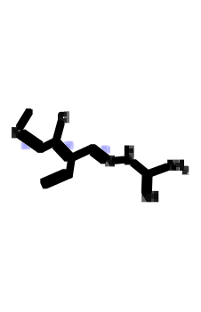 C=CC(/C=N/NC(=N)N)=C(Cl)\C=N/C